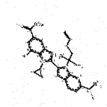 BC(B)(CCC=C)n1c(-c2nc3cc(C(=O)OC)cc(F)c3n2C2CC2)cc2ccc([C@@H](C)N)nc21